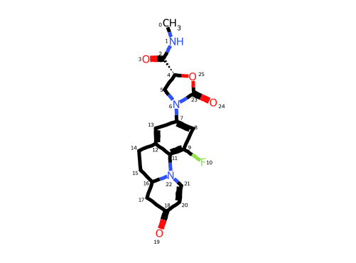 CNC(=O)[C@H]1CN(c2cc(F)c3c(c2)CCC2CC(=O)C=CN32)C(=O)O1